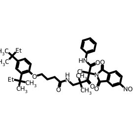 CCC(C)(C)c1ccc(OCCCC(=O)NCC(C)(C)C(=O)C(Cl)(C(=O)Nc2ccccc2)N2C(=O)c3ccc([N+](=O)[O-])cc3C2=O)c(C(C)(C)CC)c1